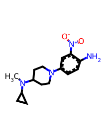 CN(C1CC1)C1CCN(c2ccc(N)c([N+](=O)[O-])c2)CC1